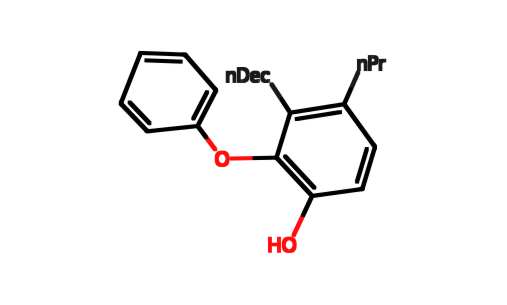 CCCCCCCCCCc1c(CCC)ccc(O)c1Oc1ccccc1